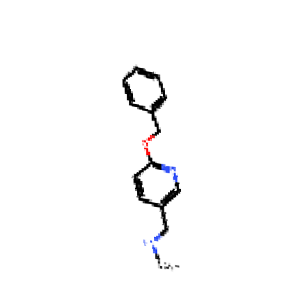 O=C(O)NCc1ccc(OCc2ccccc2)nc1